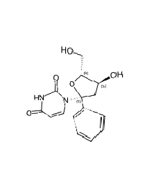 O=c1ccn([C@@]2(c3ccccc3)C[C@H](O)[C@@H](CO)O2)c(=O)[nH]1